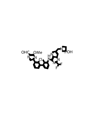 COc1nc(-c2cccc(-c3cccc(Nc4nc(C(F)F)nc5cc(CN6CC[C@H](O)C6)cnc45)c3C)c2Cl)cnc1C=O